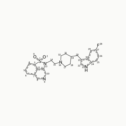 O=S1(=O)c2cccc3cncc(c23)N1CCN1CCC(Cc2c[nH]c3ccc(F)cc23)CC1